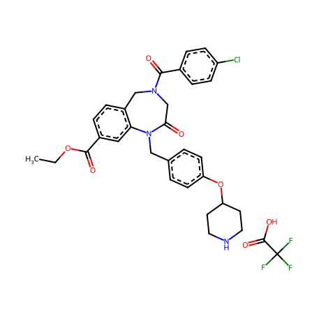 CCOC(=O)c1ccc2c(c1)N(Cc1ccc(OC3CCNCC3)cc1)C(=O)CN(C(=O)c1ccc(Cl)cc1)C2.O=C(O)C(F)(F)F